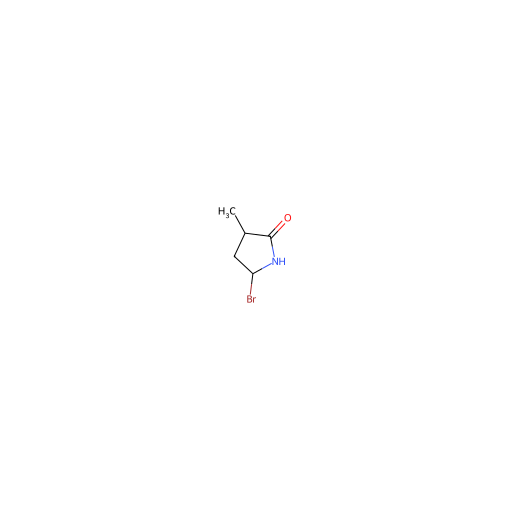 CC1CC(Br)NC1=O